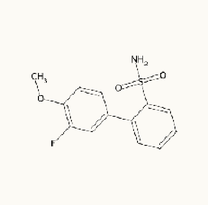 COc1ccc(-c2ccccc2S(N)(=O)=O)cc1F